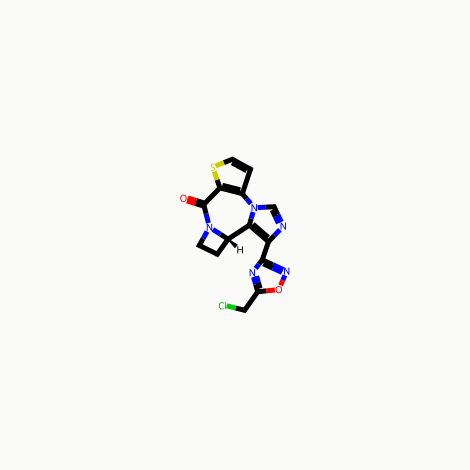 O=C1c2sccc2-n2cnc(-c3noc(CCl)n3)c2[C@@H]2CCN12